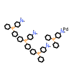 CN(C)c1ccc(P(c2ccccc2)c2ccccc2)cc1.CN(C)c1ccc(P(c2ccccc2)c2ccccc2)cc1.CN(C)c1ccc(P(c2ccccc2)c2ccccc2)cc1.CN(C)c1ccc(P(c2ccccc2)c2ccccc2)cc1.[Pd]